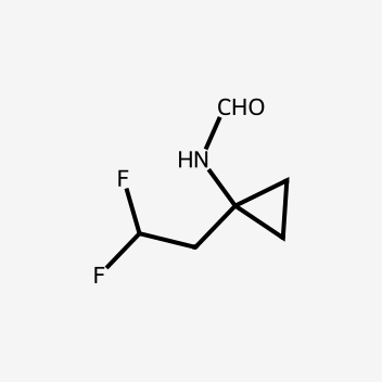 O=CNC1(CC(F)F)CC1